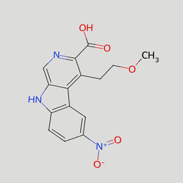 COCCc1c(C(=O)O)ncc2[nH]c3ccc([N+](=O)[O-])cc3c12